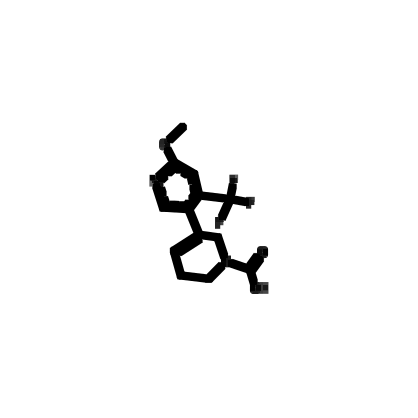 COc1cc(C(F)(F)F)c(C2=CCCN(C(=O)O)C2)cn1